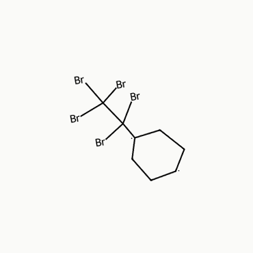 BrC(Br)(Br)C(Br)(Br)[C]1CC[CH]CC1